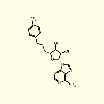 Nc1ncnc2c1ncn2[C@@H]1O[C@H](COCc2ccc(C(F)(F)F)cc2)[C@@H](O)[C@H]1O